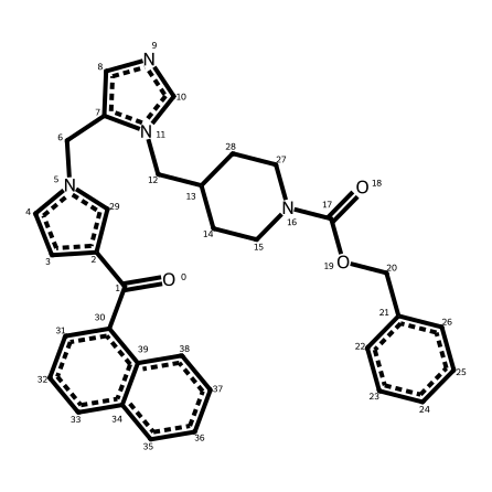 O=C(c1ccn(Cc2cncn2CC2CCN(C(=O)OCc3ccccc3)CC2)c1)c1cccc2ccccc12